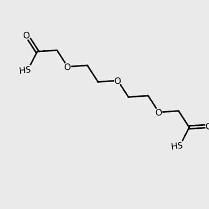 O=C(S)COCCOCCOCC(=O)S